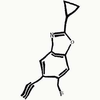 C#Cc1cc2nc(C3CC3)oc2cc1F